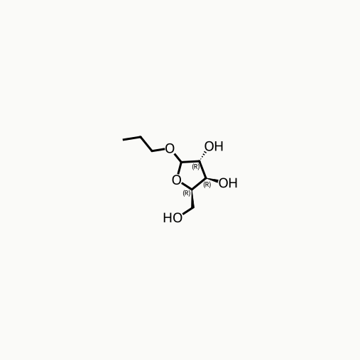 CCCOC1O[C@H](CO)[C@H](O)[C@H]1O